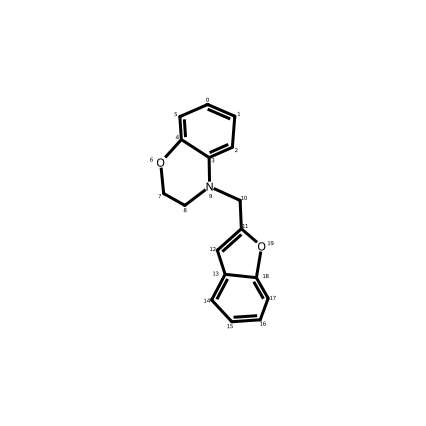 c1ccc2c(c1)OCCN2Cc1cc2ccccc2o1